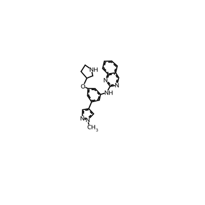 Cn1cc(-c2cc(Nc3ncc4ccccc4n3)cc(OC3CCNC3)c2)cn1